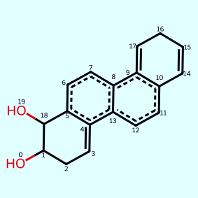 OC1CC=c2c(ccc3c4c(ccc23)C=CCC=4)C1O